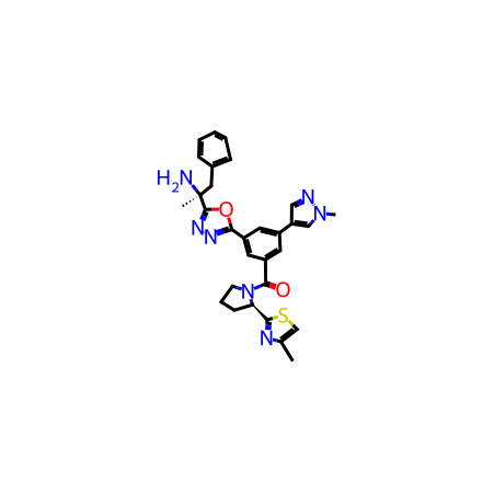 Cc1csc([C@H]2CCCN2C(=O)c2cc(-c3cnn(C)c3)cc(-c3nnc([C@@](C)(N)Cc4ccccc4)o3)c2)n1